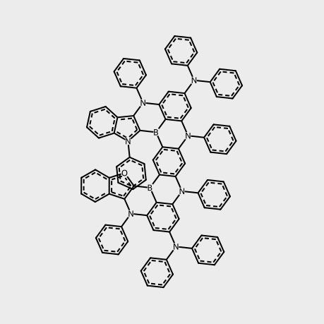 c1ccc(N(c2ccccc2)c2cc3c4c(c2)N(c2ccccc2)c2c(oc5ccccc25)B4c2cc4c(cc2N3c2ccccc2)N(c2ccccc2)c2cc(N(c3ccccc3)c3ccccc3)cc3c2B4c2c(c4ccccc4n2-c2ccccc2)N3c2ccccc2)cc1